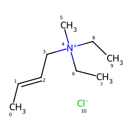 CC=CC[N+](C)(CC)CC.[Cl-]